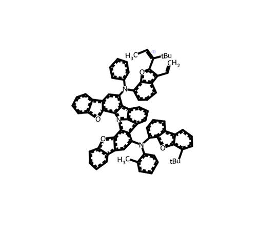 C=Cc1c(/C(=C\C)C(C)(C)C)oc2c(N(c3ccccc3)c3cc4c5ccccc5oc4c4c3c3cccc5c6c(N(c7ccccc7C)c7cccc8c7oc7c(C(C)(C)C)cccc78)cc7c8ccccc8oc7c6n4c35)cccc12